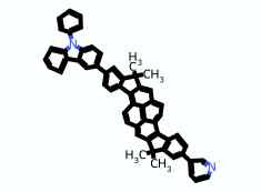 CC1(C)c2cc(-c3cccnc3)ccc2-c2c1cc1ccc3c4c(cc5ccc2c1c53)C(C)(C)c1cc(-c2ccc3c(c2)c2ccccc2n3-c2ccccc2)ccc1-4